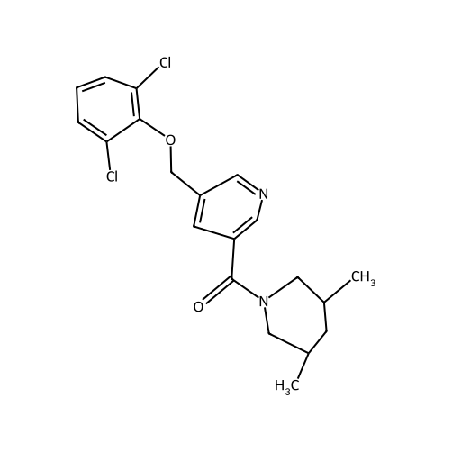 CC1CC(C)CN(C(=O)c2cncc(COc3c(Cl)cccc3Cl)c2)C1